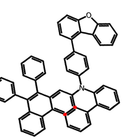 c1ccc(-c2ccccc2N(c2ccc(-c3cccc4oc5ccccc5c34)cc2)c2ccc3c(c2)c(-c2ccccc2)c(-c2ccccc2)c2ccccc23)cc1